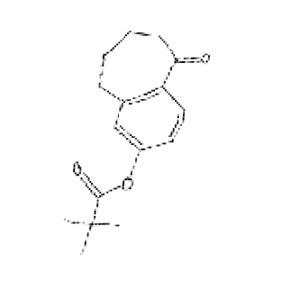 CC(C)(C)C(=O)Oc1ccc2c(c1)CCCCC2=O